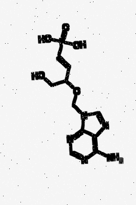 Nc1ncnc2c1ncn2COC(/C=C/P(=O)(O)O)CO